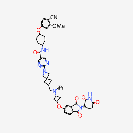 COc1cc(OC2CCC(NC(=O)c3cnc(N4CC5(CC(CN(C(C)C)C6CC(Oc7ccc8c(c7)C(=O)N([C@@H]7CCC(=O)NC7=O)C8=O)C6)C5)C4)nc3)CC2)ccc1C#N